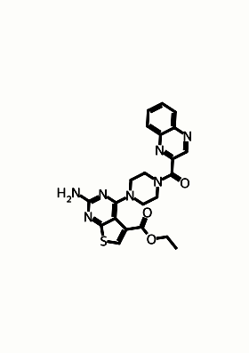 CCOC(=O)c1csc2nc(N)nc(N3CCN(C(=O)c4cnc5ccccc5n4)CC3)c12